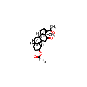 CC(=O)OC1CC[C@@H]2CC[C@H]3[C@@H]4CC=C(C(C)=O)[C@@]4(C)C(=O)C[C@@H]3[C@@]2(C)C1